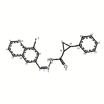 O=C(N/N=C\c1cc(F)c2ncccc2c1)C1CC1c1ccccc1